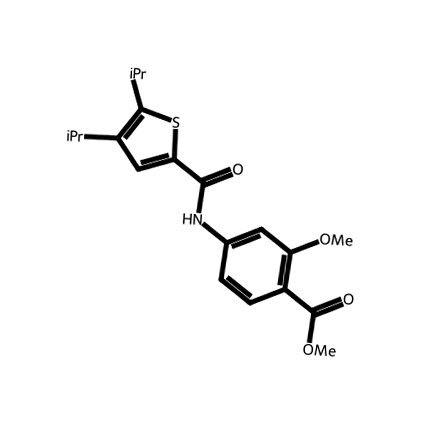 COC(=O)c1ccc(NC(=O)c2cc(C(C)C)c(C(C)C)s2)cc1OC